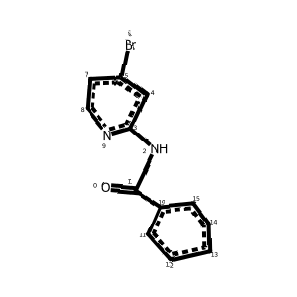 O=C(Nc1cc(Br)ccn1)c1ccccc1